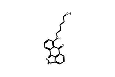 O=C1c2c(NCCCCCO)cccc2-c2n[nH]c3cccc1c23